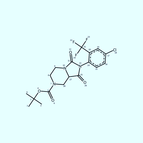 CC(C)(C)OC(=O)N1CCN2C(=O)N(c3ccc(Cl)cc3C(F)(F)F)C(=O)C2C1